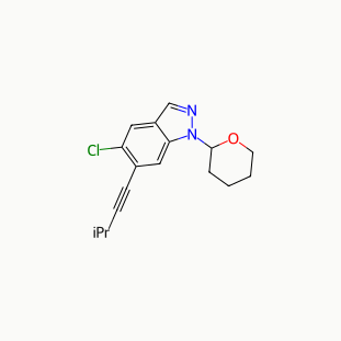 CC(C)C#Cc1cc2c(cnn2C2CCCCO2)cc1Cl